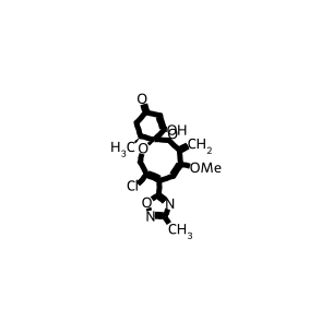 C=C1C(=O)[C@@]2(OC/C(Cl)=C(c3nc(C)no3)\C=C/1OC)C(O)=CC(=O)C[C@H]2C